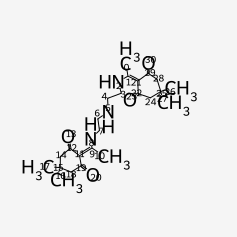 CC(NCCNCCNC(C)=C1C(=O)CC(C)(C)CC1=O)=C1C(=O)CC(C)(C)CC1=O